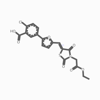 CCOC(=O)CN1C(=O)S/C(=C\c2ccc(-c3ccc(Cl)c(C(=O)O)c3)o2)C1=O